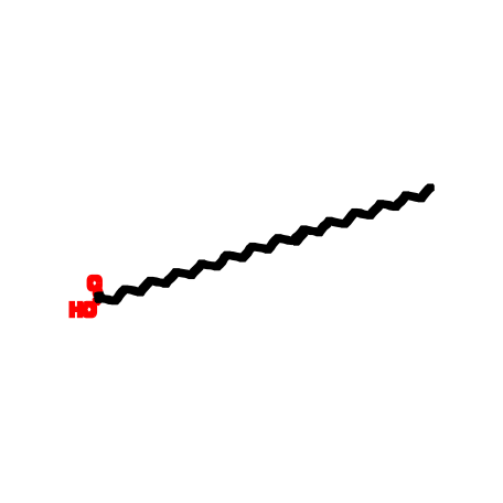 CCCCCCCCCCC=CCCCCCCCCCCCCCCC(=O)O